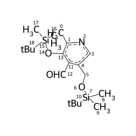 Cc1ncc(CO[Si](C)(C)C(C)(C)C)c(C=O)c1O[Si](C)(C)C(C)(C)C